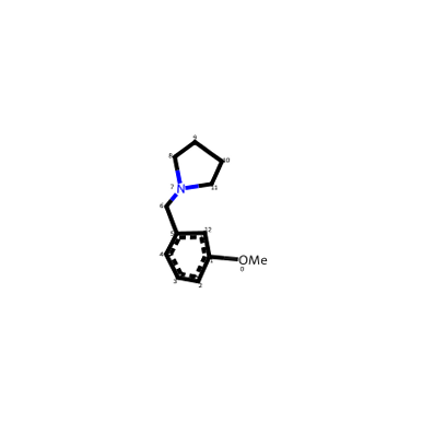 COc1cccc(CN2C[CH]CC2)c1